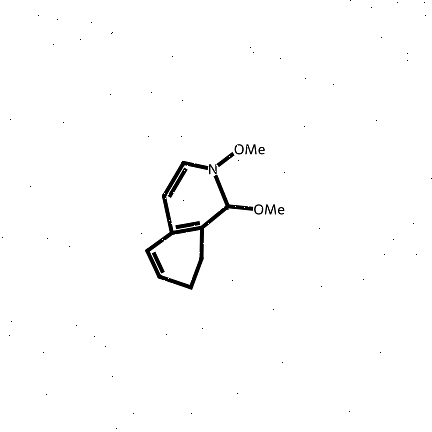 CO[C]1C2=C(C=CCC2)C=CN1OC